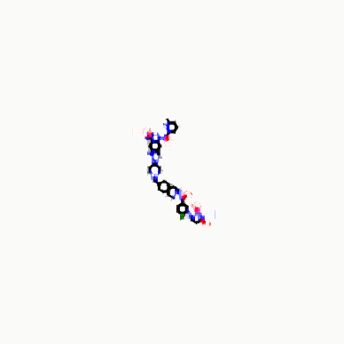 Cc1cccc(C(=O)Nc2cc3cn(C4CCN(CC5CCC6(CC5)CCN(C(=O)c5ccc(F)c(N7CCC(=O)NC7=O)c5)CC6)CC4)nc3cc2C(C)(C)O)n1